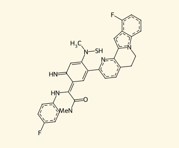 CNC(=O)/C(Nc1ccc(F)cc1)=C1\C=C(c2ccc3c(n2)-c2cc4c(F)cccc4n2CC3)C(N(C)S)=CC1=N